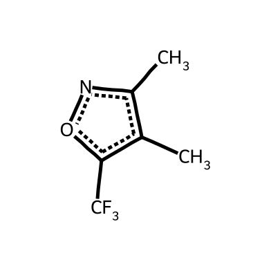 Cc1noc(C(F)(F)F)c1C